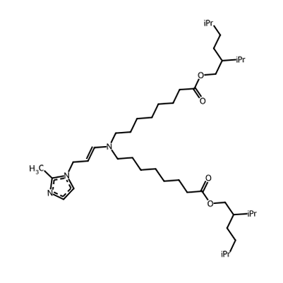 Cc1nccn1C/C=C/N(CCCCCCCC(=O)OCC(CCC(C)C)C(C)C)CCCCCCCC(=O)OCC(CCC(C)C)C(C)C